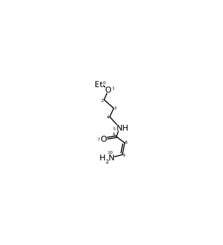 CCOCCCNC(=O)/C=C\N